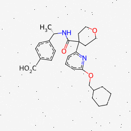 C[C@H](NC(=O)C1(c2cccc(OCC3CCCCC3)n2)CCOCC1)c1ccc(C(=O)O)cc1